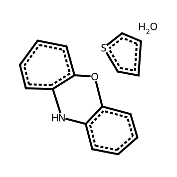 O.c1ccc2c(c1)Nc1ccccc1O2.c1ccsc1